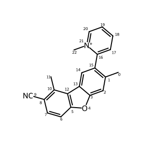 Cc1cc2oc3ccc(C#N)c(C)c3c2cc1-c1cccc[n+]1C